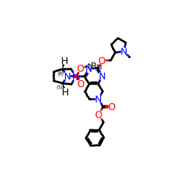 CN1CCCC1COc1nc2c(c(N3C[C@H]4CC[C@@H](C3)N4C(=O)OC(C)(C)C)n1)CCN(C(=O)OCc1ccccc1)C2